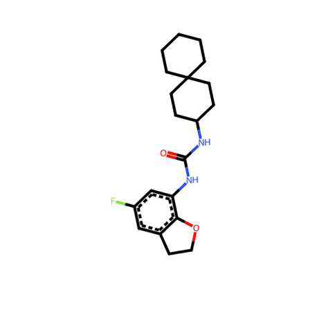 O=C(Nc1cc(F)cc2c1OCC2)NC1CCC2(CCCCC2)CC1